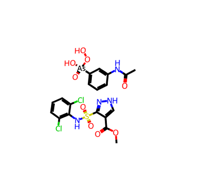 CC(=O)Nc1cccc([As](=O)(O)OO)c1.COC(=O)c1c[nH]nc1S(=O)(=O)Nc1c(Cl)cccc1Cl